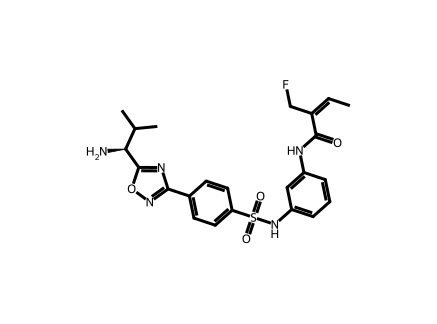 C/C=C(/CF)C(=O)Nc1cccc(NS(=O)(=O)c2ccc(-c3noc([C@@H](N)C(C)C)n3)cc2)c1